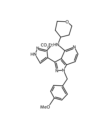 CCOC(=O)c1n[nH]cc1-c1nn(Cc2ccc(OC)cc2)c2ccnc(NC3CCOCC3)c12